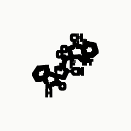 CC(C)CC(F)(C(=O)N(C)c1ccccc1)C(=O)N1C[C@]2(C[C@H]1C#N)C(=O)Nc1ccccc12